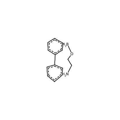 BOCCN.c1ccc(-c2ccccc2)cc1